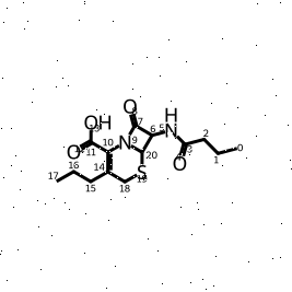 CCCC(=O)NC1C(=O)N2C(C(=O)O)=C(CCC)CSC12